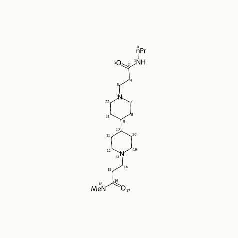 CCCNC(=O)CCN1CCC(C2CCN(CCC(=O)NC)CC2)CC1